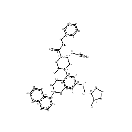 CC1CN(C(=O)OCc2ccccc2)[C@H](CC#N)CN1c1nc(OC[C@@H]2CCCN2C)nc2c1CCN(c1cccc3ccccc13)C2